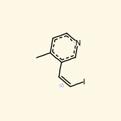 Cc1ccncc1/C=C\I